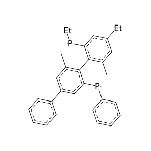 CC[P]c1cc(CC)cc(C)c1-c1c(C)cc(-c2ccccc2)cc1[P]c1ccccc1